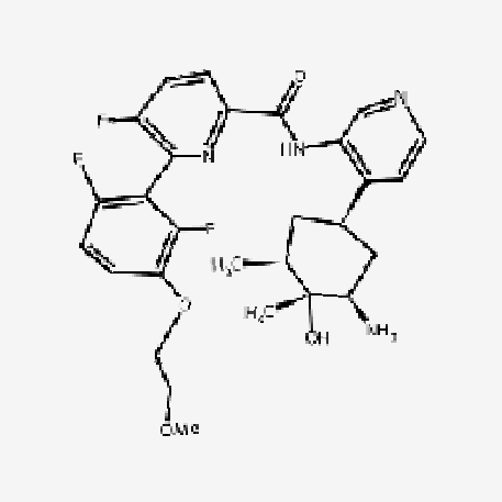 COCCOc1ccc(F)c(-c2nc(C(=O)Nc3cnccc3[C@H]3C[C@@H](N)[C@](C)(O)[C@@H](C)C3)ccc2F)c1F